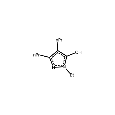 CCCc1nn(CC)c(O)c1CCC